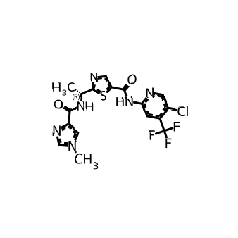 C[C@@H](NC(=O)c1cn(C)cn1)c1ncc(C(=O)Nc2cc(C(F)(F)F)c(Cl)cn2)s1